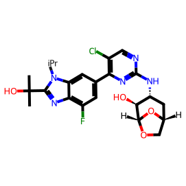 CC(C)n1c(C(C)(C)O)nc2c(F)cc(-c3nc(N[C@@H]4C[C@@H]5CO[C@@H](O5)[C@H]4O)ncc3Cl)cc21